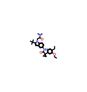 CCOc1cc(C2(C(=O)Nc3ccc4c(c3)cc(C(C)(C)C)n4CC(=O)N(C)C)CC2)ccc1CC